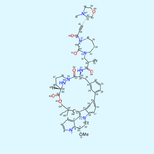 CCn1c(-c2cccnc2[C@H](C)OC)c2c3cc(ccc31)-c1cccc(c1)C[C@H](NC(=O)C(CN1CCCCN(C(=O)C#C[C@H]3COCCN3C)CC1=O)C(C)C)C(=O)N1CCC[C@H](N1)C(=O)OCC(C)(C)C2